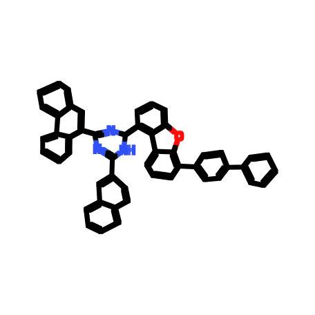 c1ccc(-c2ccc(-c3cccc4c3oc3cccc(C5N=C(c6cc7ccccc7c7ccccc67)N=C(c6ccc7ccccc7c6)N5)c34)cc2)cc1